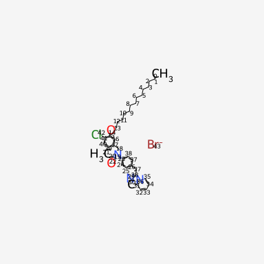 CCCCCCCCCCCCCCOc1cc(CN(C(C)=O)c2ccc(CC3=N[C+]=C4C=CC=CN43)cc2)ccc1Cl.[Br-]